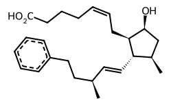 C[C@H](/C=C/[C@@H]1[C@@H](C/C=C\CCCC(=O)O)[C@@H](O)C[C@H]1C)CCc1ccccc1